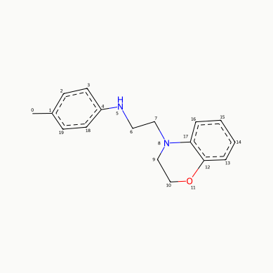 Cc1ccc(NCCN2CCOc3ccccc32)cc1